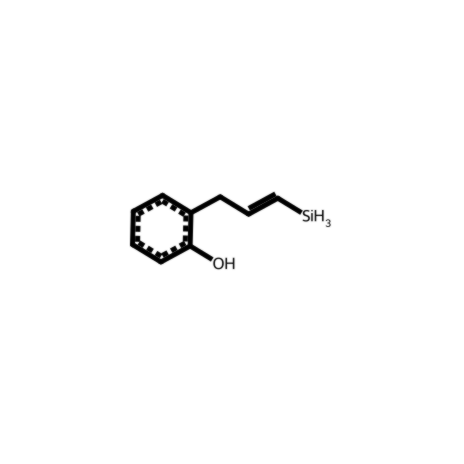 Oc1ccccc1CC=C[SiH3]